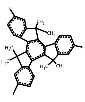 CC1(C)c2cc(I)ccc2-c2c1c1c(c3c2C(C)(C)c2cc(I)ccc2-3)C(C)(C)c2cc(I)ccc2-1